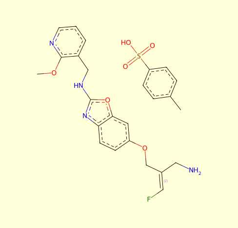 COc1ncccc1CNc1nc2ccc(OC/C(=C\F)CN)cc2o1.Cc1ccc(S(=O)(=O)O)cc1